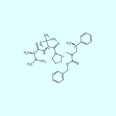 C[C@H](CN(C[C@@H]1CCCN1C(=O)[C@@H](NC(=O)[C@H](C)N(C)C)C(C)(C)C)C(=O)OCc1ccccc1)c1ccccc1